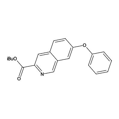 CC(C)COC(=O)c1cc2ccc(Oc3ccccc3)cc2cn1